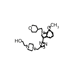 COc1cccc2c(-c3nsc(CN4CCN(CCO)CC4)n3)cn(CC3CCOCC3)c12